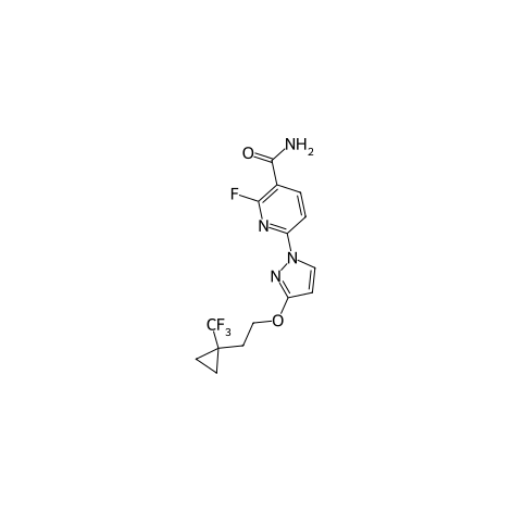 NC(=O)c1ccc(-n2ccc(OCCC3(C(F)(F)F)CC3)n2)nc1F